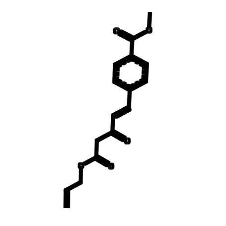 C=CCOC(=O)CC(=O)C=Cc1ccc(C(=O)OC)cc1